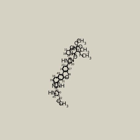 CC[C@H](C)[C@H](NC(=O)OC)C(=O)N1[C@@H](C)CC[C@H]1c1ncc(-c2ccc3c(c2)COc2cc4c(ccc5nc([C@@H]6C[C@H](COC)CN6)[nH]c54)cc2-3)[nH]1